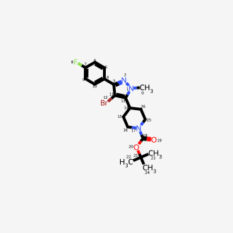 Cn1nc(-c2ccc(F)cc2)c(Br)c1C1CCN(C(=O)OC(C)(C)C)CC1